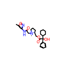 Cc1cc(NC(=O)C[N@@+]2(C)CCCC2COC(=O)C(O)(c2ccccc2)C2CCCCC2)no1